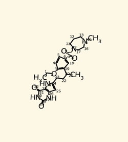 CCOc1ccc(S(=O)(=O)N2CCCN(C)CC2)cc1C(C)CCc1cc2[nH]c(=O)[nH]c(=O)c2[nH]1